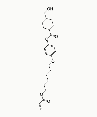 C=CC(=O)OCCCCCCOc1ccc(OC(=O)C2CCC(CO)CC2)cc1